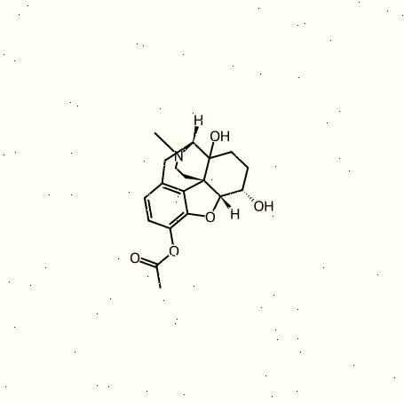 CC(=O)Oc1ccc2c3c1O[C@H]1[C@@H](O)CCC4(O)[C@@H](C2)N(C)CC[C@]314